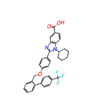 O=C(O)c1ccc2c(c1)nc(-c1ccc(OCc3ccccc3-c3ccc(C(F)(F)F)cc3)cc1)n2C1CCCCC1